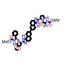 COC(=O)N[C@@H](CN1CC2(C[C@H]1c1nc3ccc4cc(-c5ccc6c(ccc7nc([C@@H]8CCCN8C(=O)[C@@H](NC(=O)OC)C(C)C)[nH]c76)c5)ccc4c3[nH]1)OCCO2)c1ccccc1